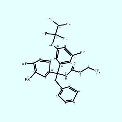 O=C(NCC(F)(F)F)NC(Cc1ccccc1)(c1cc(F)cc(OC(F)(F)C(F)F)c1)c1ccc(F)c(C(F)(F)F)c1